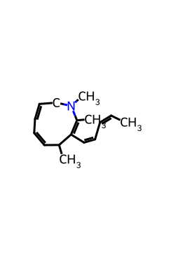 C\C=C/C=C\C1=C(/C)N(C)C/C=C\C=C/C1C